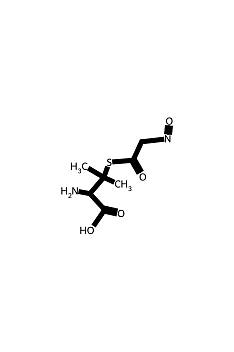 CC(C)(SC(=O)CN=O)C(N)C(=O)O